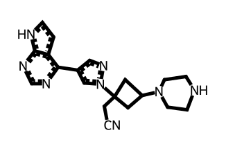 N#CCC1(n2cc(-c3ncnc4[nH]ccc34)cn2)CC(N2CCNCC2)C1